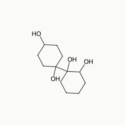 OC1CCC(O)(C2(O)CCCCC2O)CC1